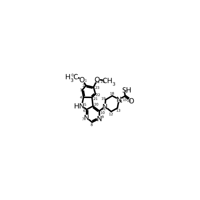 COc1cc2[nH]c3ncnc(N4CCN(C(=O)S)CC4)c3c2cc1OC